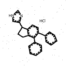 Cl.c1ccc(-c2ccc3c(c2-c2ccccc2)CCC3c2c[nH]cn2)cc1